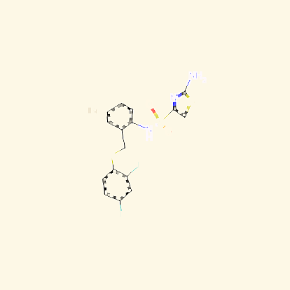 Br.Nc1nc(S(=O)(=O)Nc2ccccc2CSc2ccc(F)cc2F)cs1